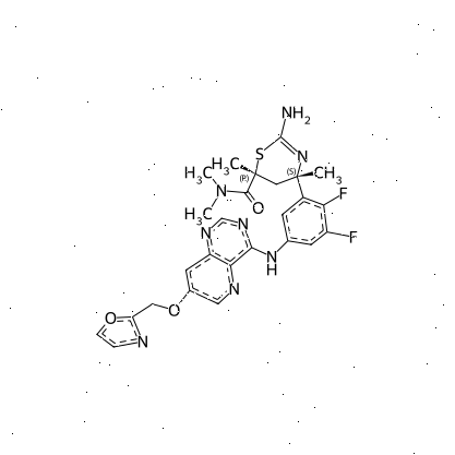 CN(C)C(=O)[C@@]1(C)C[C@@](C)(c2cc(Nc3ncnc4cc(OCc5ncco5)cnc34)cc(F)c2F)N=C(N)S1